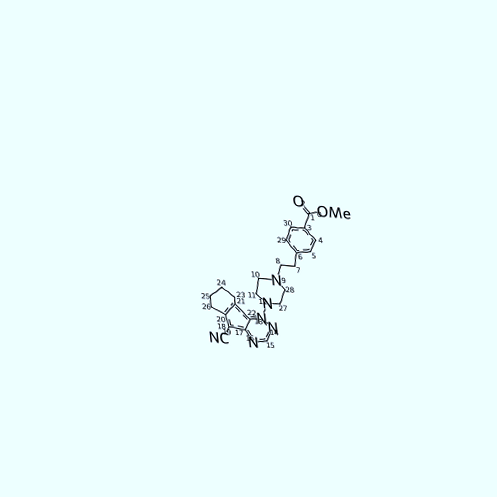 COC(=O)c1ccc(CCN2CCN(n3ncnc4c(C#N)c5c(c3-4)CCCC5)CC2)cc1